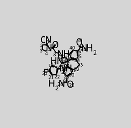 N#CC1CCCN1C(=O)CNCCC1(C(=N)Nc2ccc(F)cc2)c2ccc(C(N)=O)cc2CCc2cc(C(N)=O)ccc21